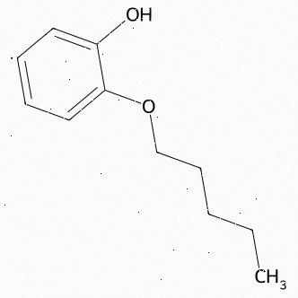 CCCCCOc1cc[c]cc1O